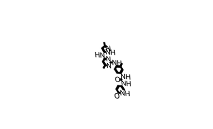 Cc1cc(Nc2cc(C)nc(Nc3ccc(NC(=O)Nc4ccc(=O)[nH]c4)cc3C)n2)[nH]n1